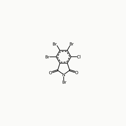 O=C1c2c(Cl)c(Br)c(Br)c(Br)c2C(=O)N1Br